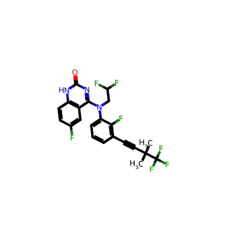 CC(C)(C#Cc1cccc(N(CC(F)F)c2nc(=O)[nH]c3ccc(F)cc23)c1F)C(F)(F)F